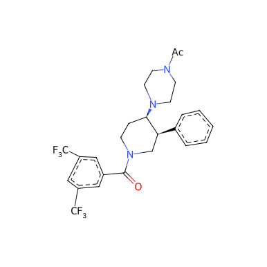 CC(=O)N1CCN([C@@H]2CCN(C(=O)c3cc(C(F)(F)F)cc(C(F)(F)F)c3)C[C@@H]2c2ccccc2)CC1